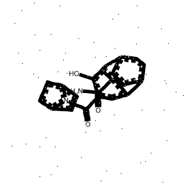 NC(=O)c1c2cc(C(=O)n3c4ccc3cc4)c(O)c1-c1ccc-2cc1